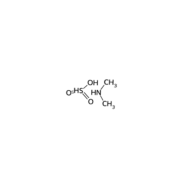 CNC.O=[SH](=O)O